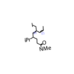 C/C=C\C(=C/C(CCC(=O)NC)C(C)C)CI